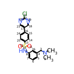 CN(C)Cc1cccc(NS(=O)(=O)c2ccc(-c3cnc(Cl)nc3)cc2)c1